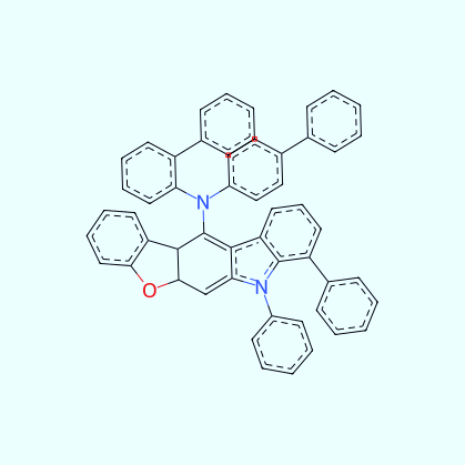 C1=c2c(c3cccc(-c4ccccc4)c3n2-c2ccccc2)=C(N(c2ccc(-c3ccccc3)cc2)c2ccccc2-c2ccccc2)C2c3ccccc3OC12